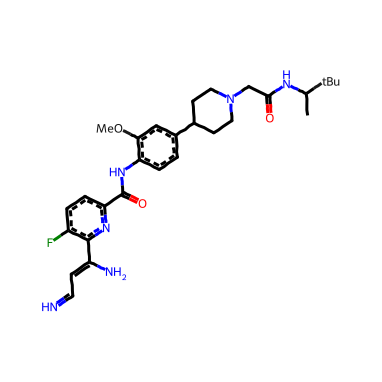 COc1cc(C2CCN(CC(=O)NC(C)C(C)(C)C)CC2)ccc1NC(=O)c1ccc(F)c(/C(N)=C/C=N)n1